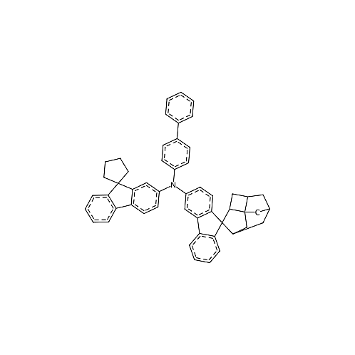 c1ccc(-c2ccc(N(c3ccc4c(c3)-c3ccccc3C43C4CC5CC6CC3C6(C5)C4)c3ccc4c(c3)C3(CCCC3)c3ccccc3-4)cc2)cc1